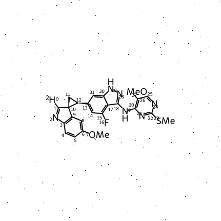 [2H]C1=Nc2ccc(OC)cc2[C@]12C[C@H]2c1cc(F)c2c(Nc3nc(SC)ncc3OC)n[nH]c2c1